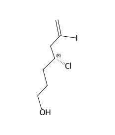 C=C(I)C[C@H](Cl)CCCO